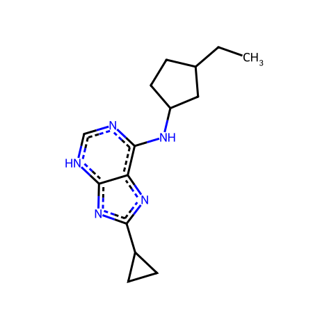 CCC1CCC(Nc2nc[nH]c3nc(C4CC4)nc2-3)C1